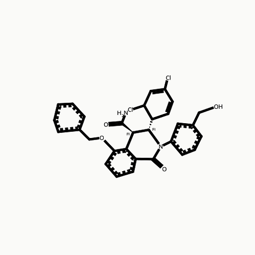 NC(=O)[C@@H]1c2c(OCc3ccccc3)cccc2C(=O)N(c2cccc(CO)c2)[C@H]1C1C=CC(Cl)=CC1Cl